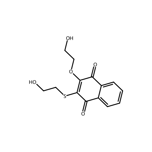 O=C1C(OCCO)=C(SCCO)C(=O)c2ccccc21